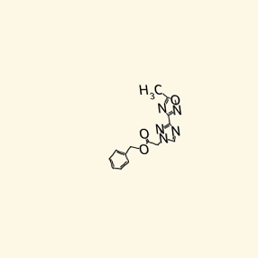 Cc1nc(-c2ncn(CC(=O)OCc3ccccc3)n2)no1